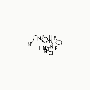 N#C[C@@H]1CCCN(c2cc3c(cn2)NC(c2c(F)cccc2F)=Nc2c(Cl)n[nH]c2-3)C1